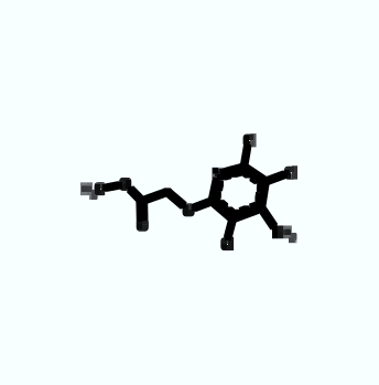 COC(=O)COc1nc(Cl)c(Cl)c(N)c1Cl